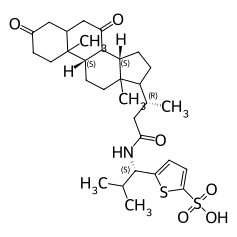 CC(C)[C@H](NC(=O)C[C@@H](C)C1CC[C@H]2C3C(=O)CC4CC(=O)CCC4(C)[C@H]3CCC12C)c1ccc(S(=O)(=O)O)s1